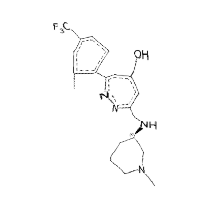 Cc1cc(C(F)(F)F)ccc1-c1nnc(N[C@@H]2CCCN(C)C2)cc1O